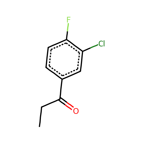 CCC(=O)c1ccc(F)c(Cl)c1